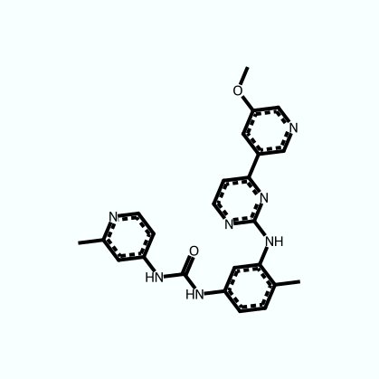 COc1cncc(-c2ccnc(Nc3cc(NC(=O)Nc4ccnc(C)c4)ccc3C)n2)c1